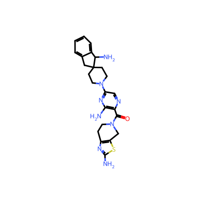 Nc1nc2c(s1)CN(C(=O)c1ncc(N3CCC4(CC3)Cc3ccccc3C4N)nc1N)CC2